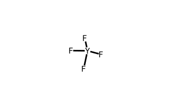 [F][Y]([F])([F])[F]